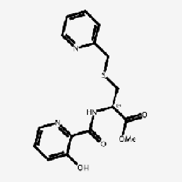 COC(=O)[C@H](CSCc1ccccn1)NC(=O)c1ncccc1O